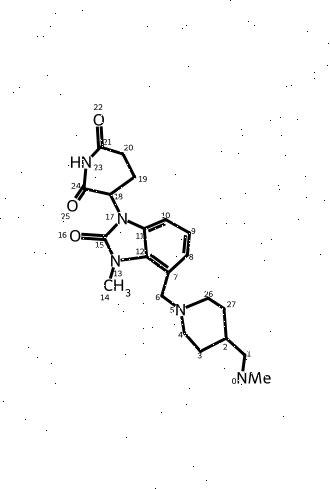 CNCC1CCN(Cc2cccc3c2n(C)c(=O)n3C2CCC(=O)NC2=O)CC1